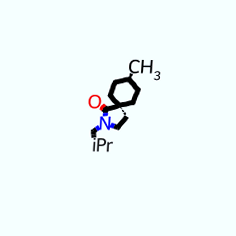 CC(C)CN1CC[C@]2(CC[C@H](C)CC2)C1=O